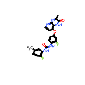 Cc1nc2nccc(Oc3ccc(NC(=O)Nc4cc(C(F)(F)F)ccc4F)c(F)c3)c2[nH]c1=O